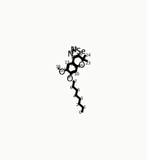 CCCCCCCCOc1cc2c(cc1OC)-c1nn[se]c1C(C)(C)O2